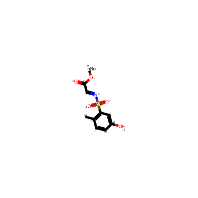 CCCCOC(=O)C=NS(=O)(=O)c1cc(O)ccc1C